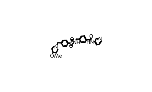 COC1CCN(Cc2ccc(S(=O)(=O)NCc3ccc(C(=O)Nc4cccnc4)cc3)cc2)CC1